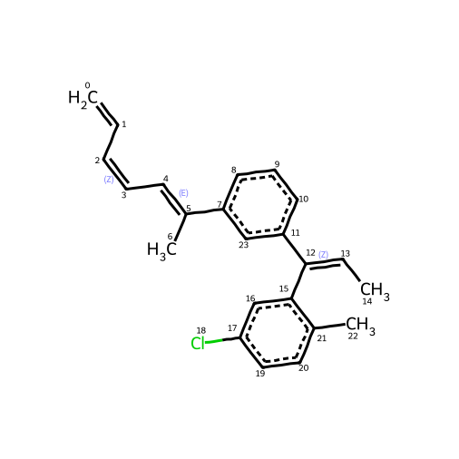 C=C/C=C\C=C(/C)c1cccc(/C(=C/C)c2cc(Cl)ccc2C)c1